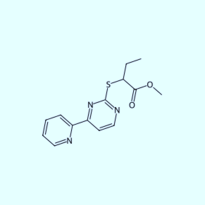 CCC(Sc1nccc(-c2ccccn2)n1)C(=O)OC